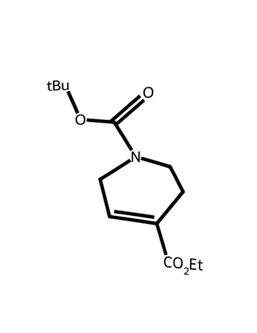 CCOC(=O)C1=CCN(C(=O)OC(C)(C)C)CC1